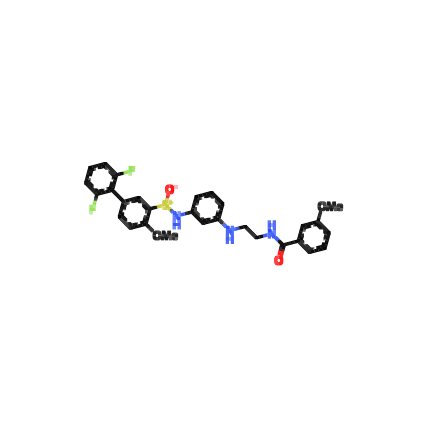 COc1cccc(C(=O)NCCNc2cccc(N[S+]([O-])c3cc(-c4c(F)cccc4F)ccc3OC)c2)c1